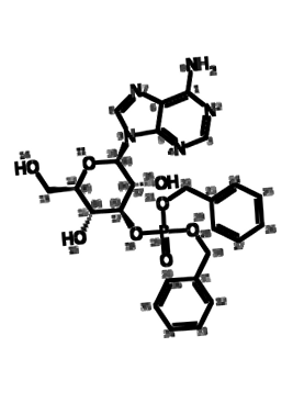 Nc1ncnc2c1ncn2[C@@H]1O[C@H](CO)[C@@H](O)[C@H](OP(=O)(OCc2ccccc2)OCc2ccccc2)[C@H]1O